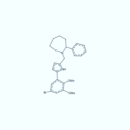 COc1cc(Br)cc(-c2ccc(CN3CCCCCC3c3ccccc3)[nH]2)c1OC